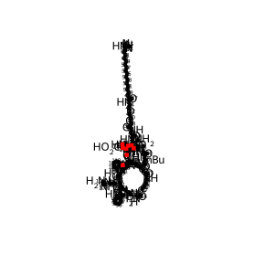 CCCC[C@H](NC(=O)[C@@H](CO)NC(=O)[C@H](Cc1c[nH]cn1)NC(=O)[C@H](CCC(=O)O)NC(=O)[C@H](CN)NC(=O)CNC(=O)COCCOCCNC(=O)CCCCCCCCCCCCCCCc1nnn[nH]1)C(=O)N[C@H]1CCC(=O)NCCCC[C@@H](C(N)=O)NC(=O)[C@H](Cc2c[nH]c3ccccc23)NC(=O)[C@H](CCCNC(=N)N)NC(=O)[C@@H](Cc2ccccc2)NC(=O)[C@@H]2C[C@@H](O)CN2C1=O